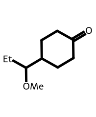 CCC(OC)C1CCC(=O)CC1